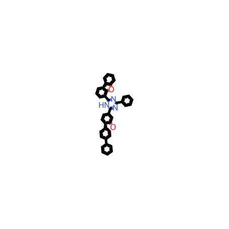 c1ccc(C2=NC(c3cccc4c3oc3ccccc34)NC(c3ccc4c(c3)oc3cc(-c5ccccc5)ccc34)=N2)cc1